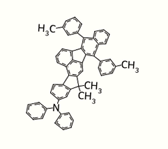 Cc1cccc(-c2c3c(c(-c4cccc(C)c4)c4ccccc24)-c2cc4c(c5cccc-3c25)-c2ccc(N(c3ccccc3)c3ccccc3)cc2C4(C)C)c1